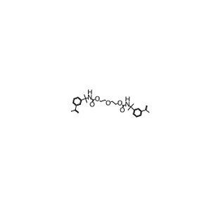 C=C(C)c1cccc(C(C)(C)NC(=O)OCCOCCOC(=O)NC(C)(C)c2cccc(C(=C)C)c2)c1